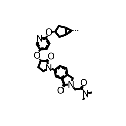 CN(C)C(=O)CN1Cc2ccc(N3CC[C@@H](Oc4ccc(O[C@H]5CC6C(C5)[C@H]6C)nc4)C3=O)cc2C1=O